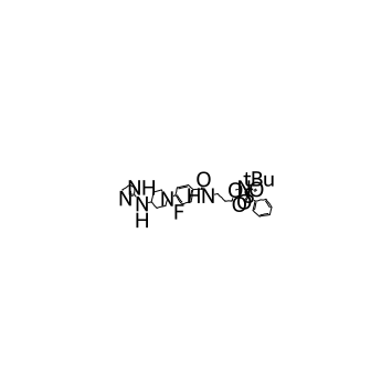 CC(C)(C)N(OC(=O)CCNC(=O)c1ccc(N2CCC(NC3=NCCN3)CC2)c(F)c1)S(=O)(=O)c1ccccc1